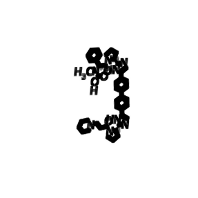 CN(C(=O)O)[C@@H](C(=O)N1CCC[C@H]1c1ncc(-c2ccc(-c3ccc(-c4cnc([C@@H]5CCCN5C(=O)CCN5CCCCC5)[nH]4)cc3)cc2)[nH]1)c1ccccc1